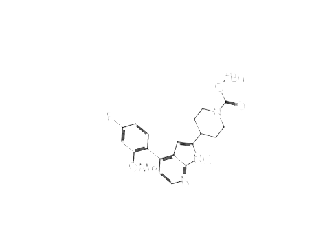 COc1cc(F)ccc1-c1ccnc2[nH]c(C3CCN(C(=O)OC(C)(C)C)CC3)cc12